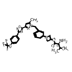 Cc1cc(-c2nc(-c3ccc(OC(F)(F)F)cc3)no2)nn1Cc1cccc(N2CC(OC(=O)[C@@H](N)C(C)C)C2)c1